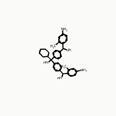 CCCC(c1ccc(C(CCC)(c2ccc(C(CCC)c3ccc(N)cc3C)cc2)C2CCCCC2)cc1)c1ccc(N)cc1C